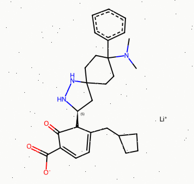 CN(C)C1(c2ccccc2)CCC2(CC1)C[C@@H](C1C(=O)C(C(=O)[O-])=CC=C1CC1CCC1)NN2.[Li+]